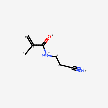 C=C(C)C(=O)NCCC#N